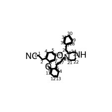 N#CCCc1ccccc1Oc1ccccc1CCC(=O)N1CCNCC1Cc1ccccc1